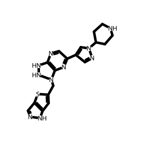 c1nn(C2CCNCC2)cc1-c1cnc2c(n1)N(Cc1cc3[nH]ncc3s1)NN2